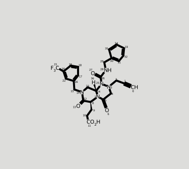 C#CCN1CC(=O)N2[C@@H](CCC(=O)O)C(=O)N(Cc3cccc(C(F)(F)F)c3)C[C@@H]2N1C(=O)NCc1ccccc1